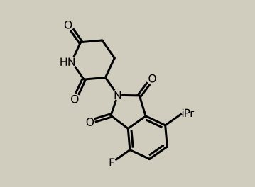 CC(C)c1ccc(F)c2c1C(=O)N(C1CCC(=O)NC1=O)C2=O